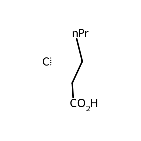 CCCCCC(=O)O.[C]